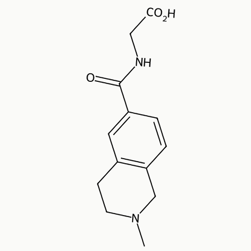 CN1CCc2cc(C(=O)NCC(=O)O)ccc2C1